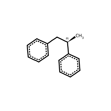 C[C@H](Cc1ccccc1)c1ccccc1